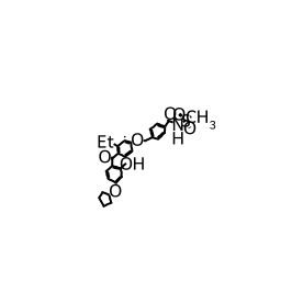 CCc1[c]c(OCc2ccc(C(=O)NS(C)(=O)=O)cc2)ccc1C(=O)c1ccc(OC2CCCC2)cc1O